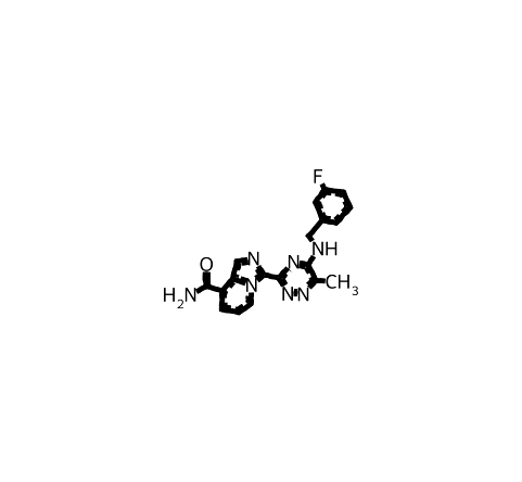 Cc1nnc(-c2ncc3c(C(N)=O)cccn23)nc1NCc1cccc(F)c1